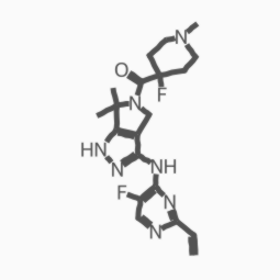 C=Cc1ncc(F)c(Nc2n[nH]c3c2CN(C(=O)C2(F)CCN(C)CC2)C3(C)C)n1